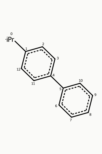 C[C](C)c1ccc(-c2ccccc2)cc1